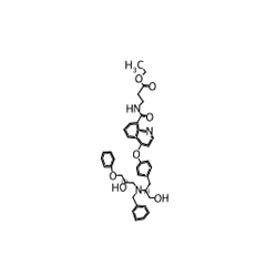 CCOC(=O)CCNC(=O)c1cccc2c(Oc3ccc(C[C@@H](CO)N(Cc4ccccc4)C[C@H](O)COc4ccccc4)cc3)ccnc12